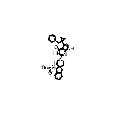 CC(C)(C)[S+]([O-])N[C@@H]1c2ccccc2CC12CCN(c1nc3[nH]nc(C4(Cc5ccccc5)CC4)c3c(=O)[nH]1)CC2